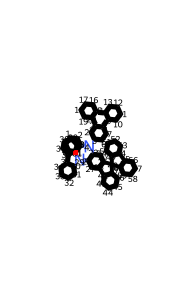 c1ccc(N(c2ccc3c4ccccc4c4ccccc4c3c2)c2cc3c(cc2-n2c4ccccc4c4ccccc42)-c2ccccc2C32c3ccccc3-c3ccccc32)cc1